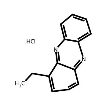 CCc1cccc2nc3ccccc3nc12.Cl